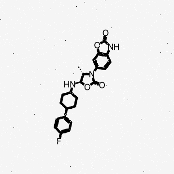 C[C@H]1[C@H](NC2CCC(c3ccc(F)cc3)CC2)OC(=O)N1c1ccc2[nH]c(=O)oc2c1